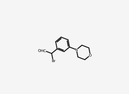 O=CC(Br)c1cccc(N2CCOCC2)c1